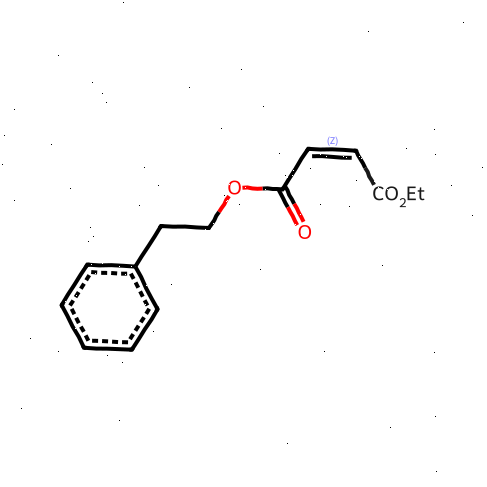 CCOC(=O)/C=C\C(=O)OCCc1ccccc1